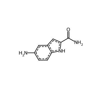 NC(=O)c1cc2cc(N)ccc2[nH]1